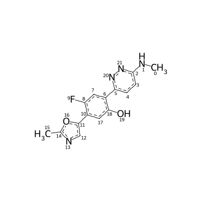 CNc1ccc(-c2cc(F)c(-c3cnc(C)o3)cc2O)nn1